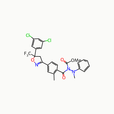 COC(=O)N(C(=O)c1ccc(C2=NOC(c3cc(Cl)cc(Cl)c3)(C(F)(F)F)C2)cc1C)N(C)c1ccccc1